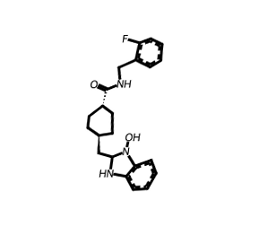 O=C(NCc1ccccc1F)[C@H]1CC[C@H](CC2Nc3ccccc3N2O)CC1